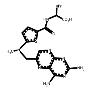 CCCC(NC(=O)c1ccc(N(C)Cc2cnc3nc(N)nc(N)c3n2)s1)C(=O)O